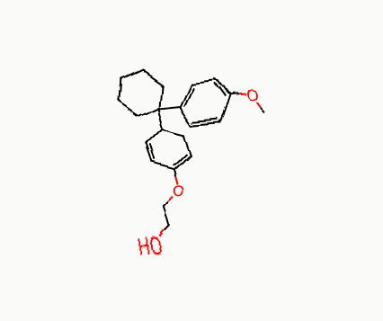 COc1ccc(C2(C3C=CC(OCCO)=CC3)CCCCC2)cc1